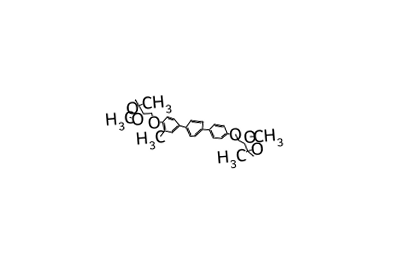 COC(COc1ccc(-c2ccc(-c3ccc(OCC(OC)C4(C)CO4)c(C)c3)cc2)cc1)C1(C)CO1